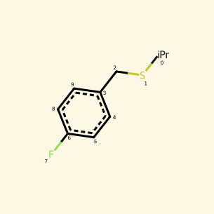 CC(C)SCc1ccc(F)cc1